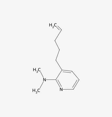 C=CCCCc1cccnc1N(C)C